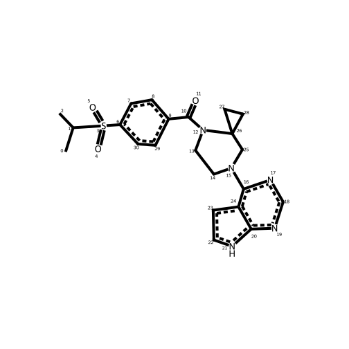 CC(C)S(=O)(=O)c1ccc(C(=O)N2CCN(c3ncnc4[nH]ccc34)CC23CC3)cc1